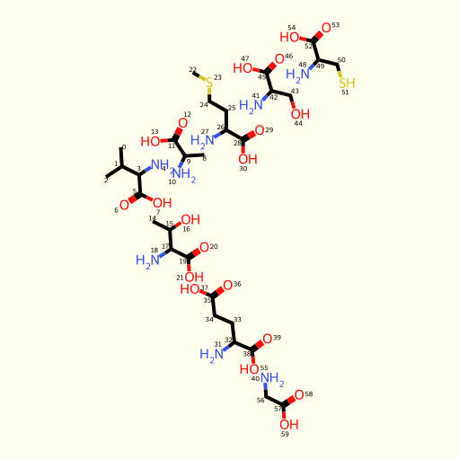 CC(C)C(N)C(=O)O.CC(N)C(=O)O.CC(O)C(N)C(=O)O.CSCCC(N)C(=O)O.NC(CCC(=O)O)C(=O)O.NC(CO)C(=O)O.NC(CS)C(=O)O.NCC(=O)O